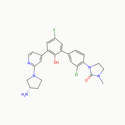 CN1CCN(c2ccc(-c3cc(F)cc(-c4ccnc(N5CC[C@H](N)C5)c4)c3O)cc2Cl)C1=O